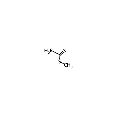 BC(=S)SC